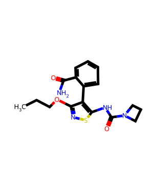 CCCOc1nsc(NC(=O)N2CCC2)c1-c1ccccc1C(N)=O